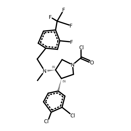 CN(Cc1ccc(C(F)(F)F)c(F)c1)[C@@H]1CN(C(=O)Cl)C[C@@H]1c1ccc(Cl)c(Cl)c1